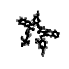 NC(=O)C(=O)N(Cc1ccccn1)Cc1ccc(F)cc1Cl.O=C(OCC(F)(F)F)C(=O)N(Cc1ccccn1)Cc1ccc(F)cc1Cl